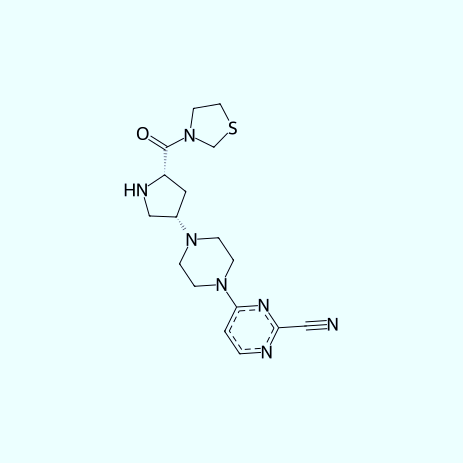 N#Cc1nccc(N2CCN([C@@H]3CN[C@H](C(=O)N4CCSC4)C3)CC2)n1